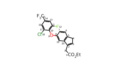 CCOC(=O)CC1=CCc2ccc(Oc3c(F)cc(C(F)(F)F)cc3Cl)cc21